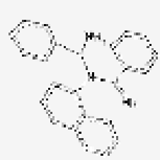 N=C(c1ccccc1)N(c1cccc2ccccc12)C(N)c1ccccc1